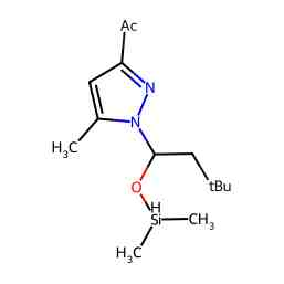 CC(=O)c1cc(C)n(C(CC(C)(C)C)O[SiH](C)C)n1